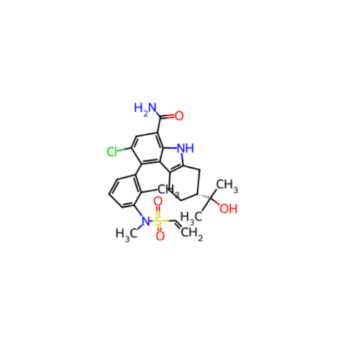 C=CS(=O)(=O)N(C)c1cccc(-c2c(Cl)cc(C(N)=O)c3[nH]c4c(c23)CC[C@@H](C(C)(C)O)C4)c1C